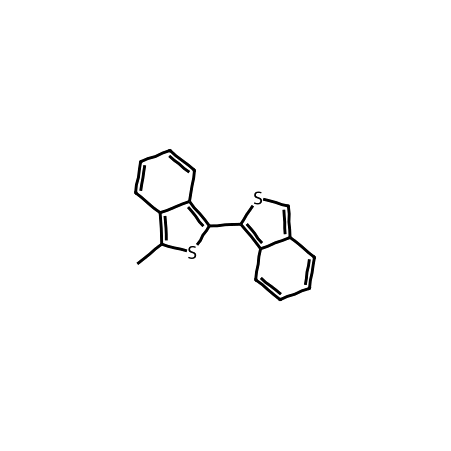 Cc1sc(-c2scc3ccccc23)c2ccccc12